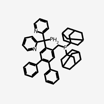 PC(c1ccccn1)(c1ccccn1)c1cc(-c2ccccc2)c(-c2ccccc2)cc1CP(C12CC3CC(CC(C3)C1)C2)C12CC3CC(CC(C3)C1)C2